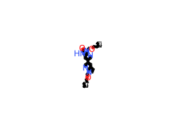 C[Si](C)(C)CCOCn1ccc2cc(-c3cnc4c(c3)[nH]c(=O)n4COCC[Si](C)(C)C)cnc21